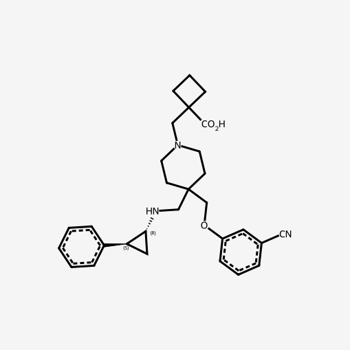 N#Cc1cccc(OCC2(CN[C@@H]3C[C@H]3c3ccccc3)CCN(CC3(C(=O)O)CCC3)CC2)c1